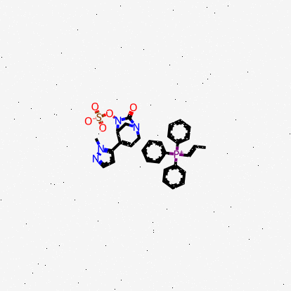 CC=C[P+](c1ccccc1)(c1ccccc1)c1ccccc1.Cn1nccc1C1=CCN2CC1N(OS(=O)(=O)[O-])C2=O